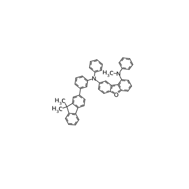 CN(c1ccccc1)c1cccc2oc3ccc(N(c4ccccc4)c4cccc(-c5ccc6c(c5)C(C)(C)c5ccccc5-6)c4)cc3c12